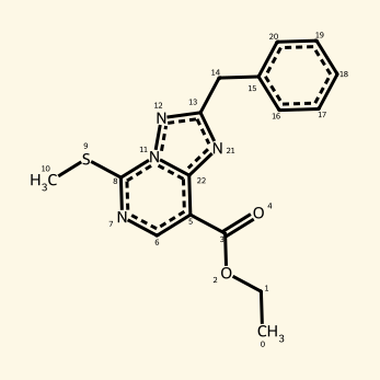 CCOC(=O)c1cnc(SC)n2nc(Cc3ccccc3)nc12